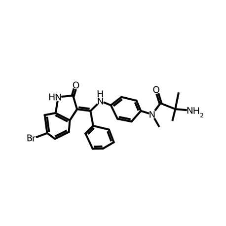 CN(C(=O)C(C)(C)N)c1ccc(N/C(=C2\C(=O)Nc3cc(Br)ccc32)c2ccccc2)cc1